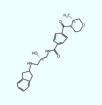 C[C@@H]1COCCN1C(=O)c1ccc(C(=O)NC[C@@H](O)CNC2Cc3ccccc3C2)cc1